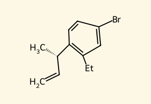 C=C[C@H](C)c1ccc(Br)cc1CC